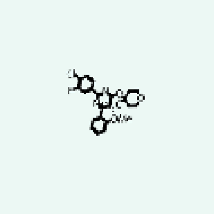 COc1ccccc1-c1cc(OC2(C(=O)O)CCOCC2)nc(-c2ccc(Cl)c(F)c2)n1